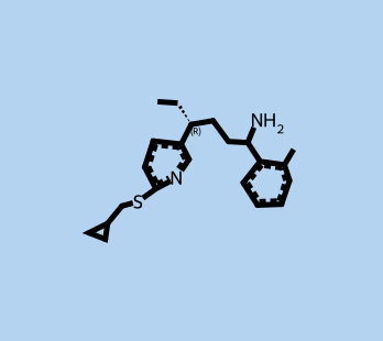 CC[C@H](CCC(N)c1ccccc1C)c1ccc(SCC2CC2)nc1